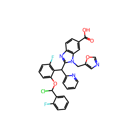 O=C(O)c1ccc2nc(C(c3ccccn3)c3c(F)cccc3OC(Cl)c3ccccc3F)n(Cc3cnco3)c2c1